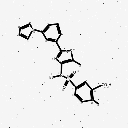 CCN(c1nc(-c2cccc(-n3cccc3)c2)sc1C)S(=O)(=O)c1ccc(C)c(C(=O)O)c1